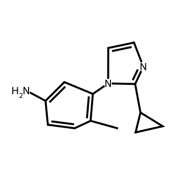 Cc1ccc(N)cc1-n1ccnc1C1CC1